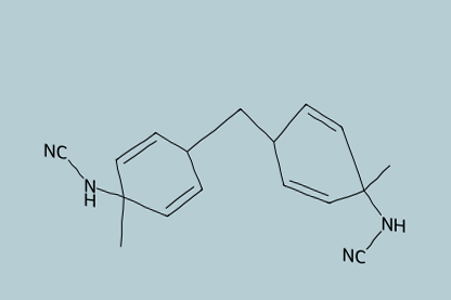 CC1(NC#N)C=CC(CC2C=CC(C)(NC#N)C=C2)C=C1